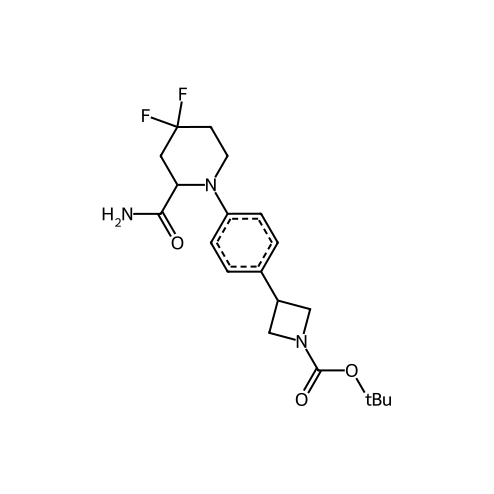 CC(C)(C)OC(=O)N1CC(c2ccc(N3CCC(F)(F)CC3C(N)=O)cc2)C1